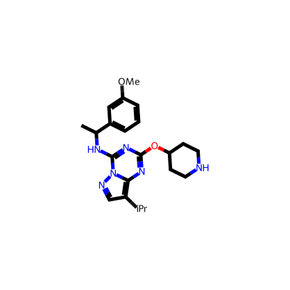 COc1cccc(C(C)Nc2nc(OC3CCNCC3)nc3c(C(C)C)cnn23)c1